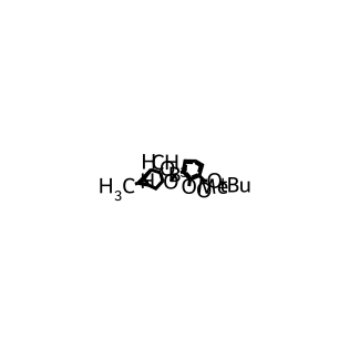 COc1c(B2OC3C[C@@H]4C5[C@@H](C54C)[C@]3(C)O2)cccc1C(=O)OC(C)(C)C